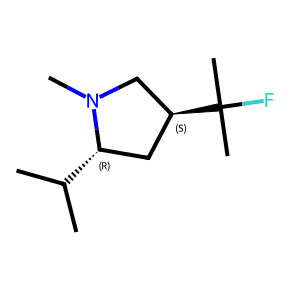 CC(C)[C@H]1C[C@H](C(C)(C)F)CN1C